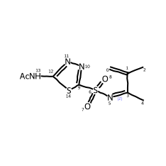 C=C(C)/C(C)=N\S(=O)(=O)c1nnc(NC(C)=O)s1